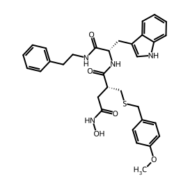 COc1ccc(CSC[C@H](CC(=O)NO)C(=O)N[C@@H](Cc2c[nH]c3ccccc23)C(=O)NCCc2ccccc2)cc1